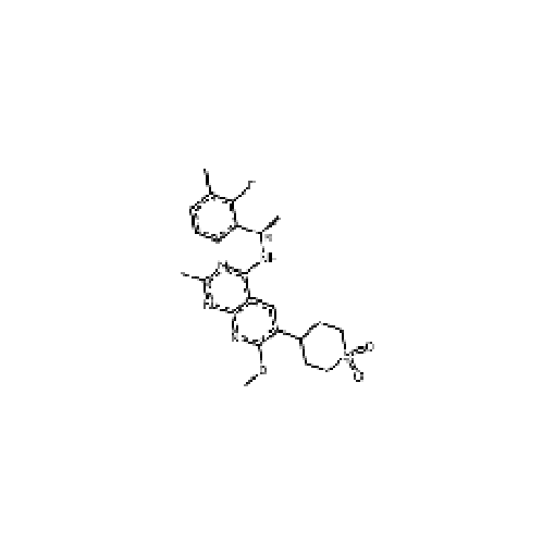 COc1nc2nc(C)nc(N[C@H](C)c3cccc(C)c3F)c2cc1C1CCS(=O)(=O)CC1